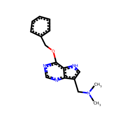 CN(C)Cc1c[nH]c2c(OCc3ccccc3)ncnc12